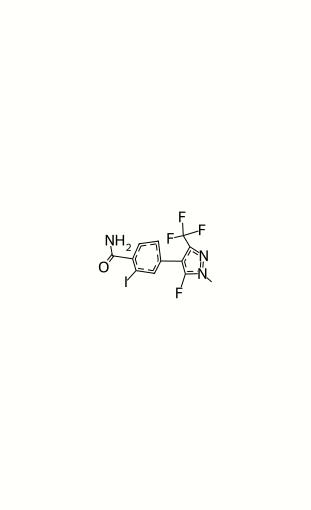 Cn1nc(C(F)(F)F)c(-c2ccc(C(N)=O)c(I)c2)c1F